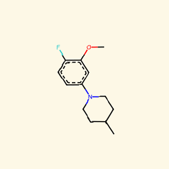 COc1cc(N2CCC(C)CC2)ccc1F